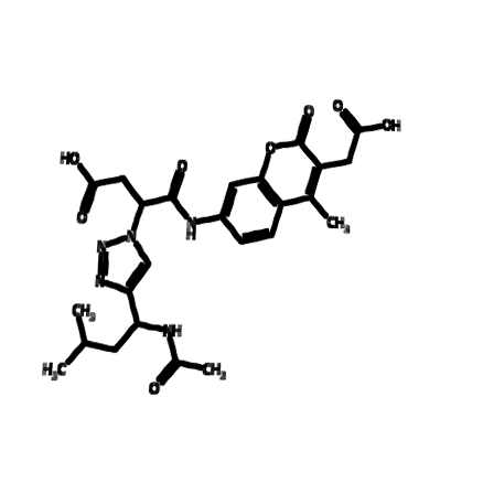 CC(=O)NC(CC(C)C)c1cn(C(CC(=O)O)C(=O)Nc2ccc3c(C)c(CC(=O)O)c(=O)oc3c2)nn1